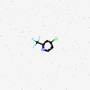 FC(F)(F)c1[c]c(Cl)ccn1